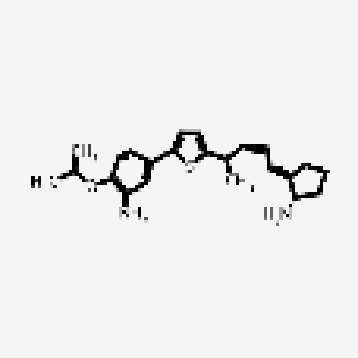 CC(C)Oc1ccc(-c2ccc(C(C)/C=C\C=C3/CCC[C@@H]3N)s2)cc1N